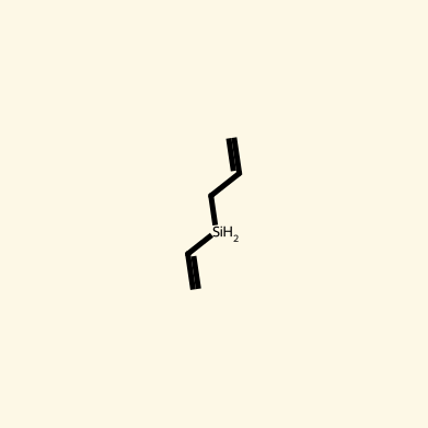 C=CC[SiH2]C=C